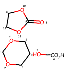 C1COCOC1.O=C(O)O.O=C1OCCO1